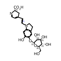 O=C(O)[C@@H]1CC(/C=C/N2CCc3cc(O[C@@H]4O[C@H](CO)[C@@H](O)[C@H](O)[C@H]4O)c(O)cc32)=CC=N1